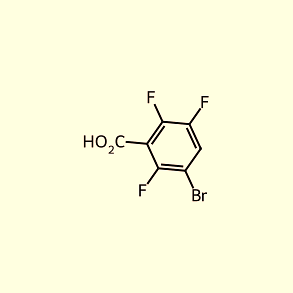 O=C(O)c1c(F)c(F)cc(Br)c1F